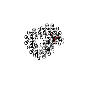 C[Si](C)(C)O[SiH2][Si](=O)[Si](=O)[Si](C)(C)O[SiH2][Si](=O)[Si](=O)[Si](=O)[Si](=O)[Si](=O)[Si](=O)[Si](=O)[Si](=O)[Si](=O)[Si](=O)[Si](=O)[Si](=O)[Si](=O)[Si](=O)[Si](=O)[Si](=O)[Si](=O)[Si](=O)[Si](=O)[Si](=O)[Si](=O)[Si](=O)[Si](=O)[Si](=O)[Si](=O)[Si](=O)[Si](=O)[Si](C)(C)C